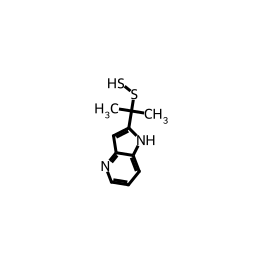 CC(C)(SS)c1cc2ncccc2[nH]1